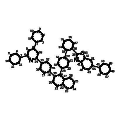 c1ccc(-c2cc(-c3ccccc3)nc(-c3ccc(-c4ccc5ccccc5c4-c4ccc(-c5ccccc5-c5nc6ccc(-c7ccccc7)cc6s5)cc4)cc3)c2)cc1